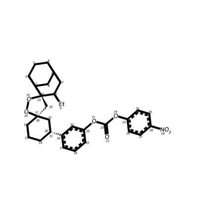 CCC1CC2CCCC(C2)[C@]12C[C@]1(CCC[C@@H](c3cccc(OC(=O)Oc4ccc([N+](=O)[O-])cc4)c3)C1)OO2